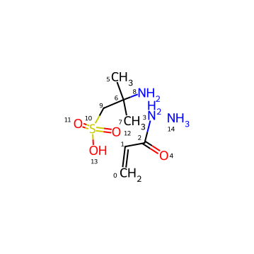 C=CC(N)=O.CC(C)(N)CS(=O)(=O)O.N